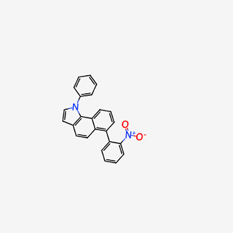 O=[N+]([O-])c1ccccc1-c1cccc2c1ccc1ccn(-c3ccccc3)c12